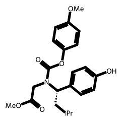 COC(=O)CN(C(=O)Oc1ccc(OC)cc1)[C@@H](CC(C)C)c1ccc(O)cc1